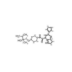 CC(C)C(C)(O)COC1CCC(NC(=O)c2nc(-n3ccnc3)nc3cc[nH]c23)CC1